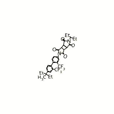 CCC(CC)N1C(=O)C2C3C(=O)N(c4ccc(-c5ccc(C(C)(CC)CC)cc5C(F)(F)F)c(C(F)(F)F)c4)C(=O)C3C2C1=O